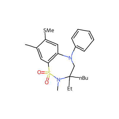 CCCCC1(CC)CN(c2ccccc2)c2cc(SC)c(C)cc2S(=O)(=O)N1C